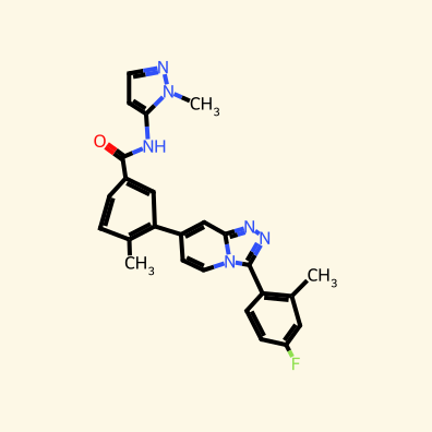 Cc1ccc(C(=O)Nc2ccnn2C)cc1-c1ccn2c(-c3ccc(F)cc3C)nnc2c1